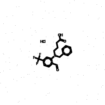 Cl.O=Cc1ccc(C(F)(F)F)cc1N(CCCC(=O)O)Cc1ccccc1